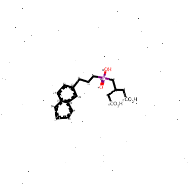 O=C(O)CC(CC(=O)O)CP(=O)(O)CCCc1ccc2ccccc2c1